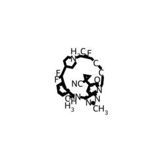 Cc1nc2c3cc(C4(C#N)CC4)c(=O)n(c3n1)CCCCCCC(C)(F)CN1CCC(CC1)C(F)(F)c1cccc(c1)[C@@H](C)N2